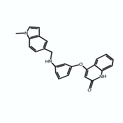 Cn1ccc2cc(CNc3cccc(Oc4cc(=O)[nH]c5ccccc45)c3)ccc21